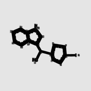 OC(c1ccc(I)cc1)c1c[nH]c2ccccc12